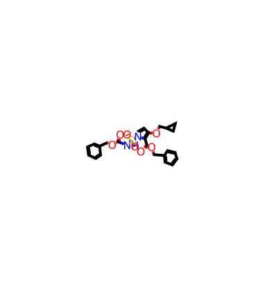 O=C(NS(=O)(=O)n1ccc(OCC2CC2)c1C(=O)OCc1ccccc1)OCc1ccccc1